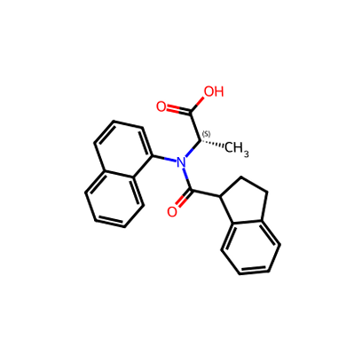 C[C@@H](C(=O)O)N(C(=O)C1CCc2ccccc21)c1cccc2ccccc12